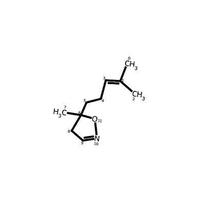 CC(C)=CCCC1(C)CC=NO1